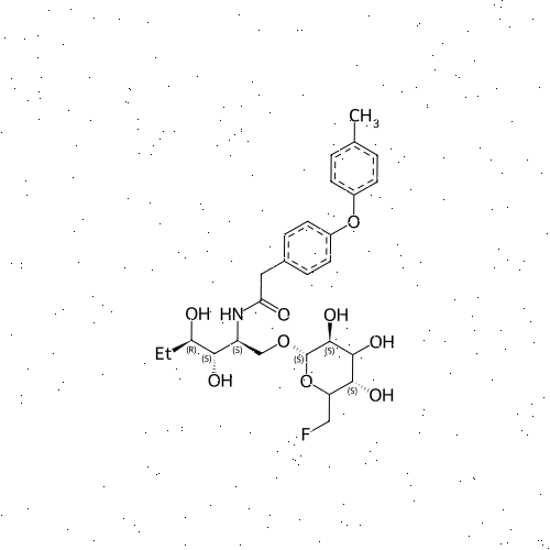 CC[C@@H](O)[C@@H](O)[C@H](CO[C@H]1OC(CF)[C@@H](O)C(O)[C@@H]1O)NC(=O)Cc1ccc(Oc2ccc(C)cc2)cc1